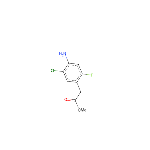 COC(=O)Cc1cc(Cl)c(N)cc1F